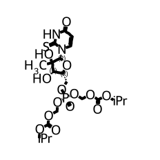 CC(C)OC(=O)OCOP(=O)(OCOC(=O)OC(C)C)OC[C@H]1O[C@@H](n2ccc(=O)[nH]c2=S)C(C)(O)[C@H]1O